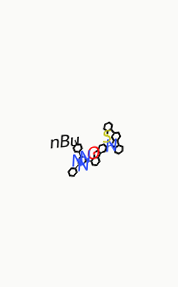 CCCCc1ccc(-c2nc(-c3ccccc3)nc(-c3cccc4c3oc3ccc(-n5c6ccccc6c6ccc7c8ccccc8sc7c65)cc34)n2)cc1